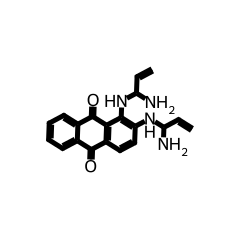 C=CC(N)Nc1ccc2c(c1NC(N)C=C)C(=O)c1ccccc1C2=O